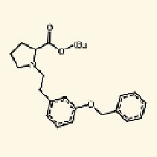 CC(C)(C)OC(=O)C1CCCN1CCc1c[c]cc(OCc2ccccc2)c1